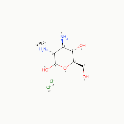 N[C@H]1[C@H](O)[C@@H](CO)OC(O)[C@@H]1N.[Cl-].[Cl-].[Pt+2]